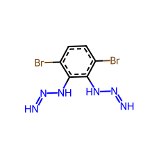 N=NNc1c(Br)ccc(Br)c1NN=N